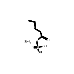 CCCCC(=O)OP(=O)(O)O.[SbH3]